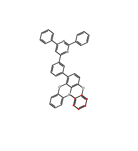 c1ccc(-c2cc(-c3cccc(-c4ccc5c6c4Oc4ccccc4[Si]6(c4ccccc4)c4ccccc4O5)c3)nc(-c3ccccc3)n2)cc1